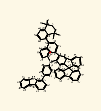 CC1(C)CCC(C)(C)c2c(-c3ccc(-c4cc5c(cc4N(c4ccccc4)c4ccc(-c6cccc7c6oc6ccccc67)cc4)C4(c6ccccc6-c6ccccc64)c4ccccc4-5)cc3)cccc21